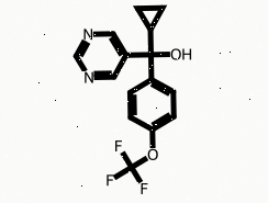 OC(c1ccc(OC(F)(F)F)cc1)(c1cncnc1)C1CC1